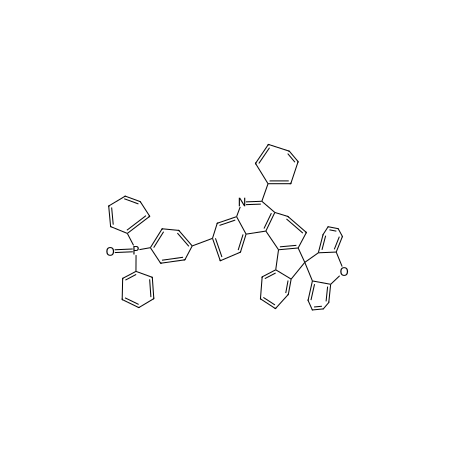 O=P(c1ccccc1)(c1ccccc1)c1ccc(-c2ccc3c(c2)nc(-c2ccccc2)c2ccc4c(c23)-c2ccccc2C42c3ccccc3Oc3ccccc32)cc1